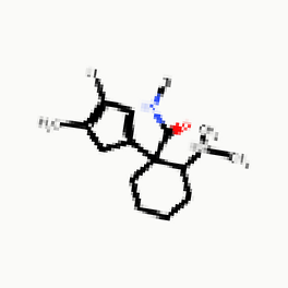 CCC1=C(C)CC(C2(C(=O)[NH][Ti])CCCCC2[SiH](C)C)=C1